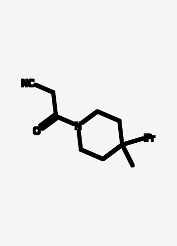 CC(C)C1(C)CCN(C(=O)CC#N)CC1